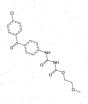 COCCOC(=O)NC(=O)Nc1ccc(C(=O)c2ccc(Cl)cc2)cc1